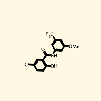 COc1cc(NC(=O)c2cc(Cl)ccc2O)cc(C(F)(F)F)c1